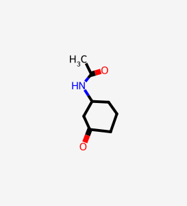 CC(=O)NC1CCCC(=O)C1